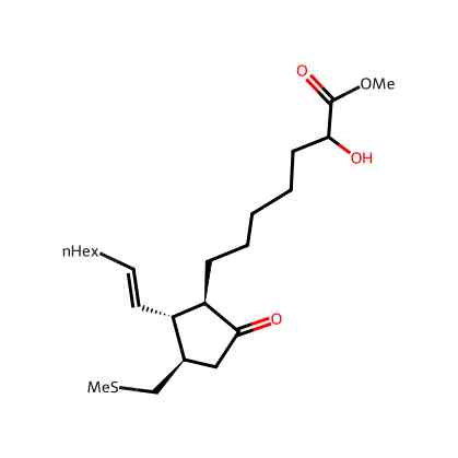 CCCCCCC=C[C@H]1[C@H](CSC)CC(=O)[C@@H]1CCCCCC(O)C(=O)OC